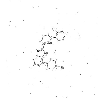 Cc1cccnc1[C@@H]1CCC[C@H](c2nc3cccc(N4CCN(C)CC4)c3[nH]2)N1